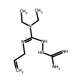 C=CC/N=C(\NNC(=N)N)N(CC)CC